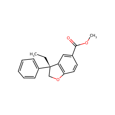 CC[C@]1(c2ccccc2)COc2ccc(C(=O)OC)cc21